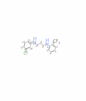 FC(F)(F)c1ccccc1NCCCNc1cccc(Cl)c1